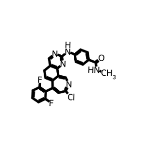 CNC(=O)c1ccc(Nc2ncc3c(n2)C2=CN=C(Cl)C=C(c4c(F)cccc4F)C2=CC3)cc1